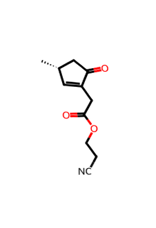 C[C@H]1C=C(CC(=O)OCCC#N)C(=O)C1